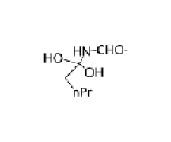 CCCCC(O)(O)N[C]=O